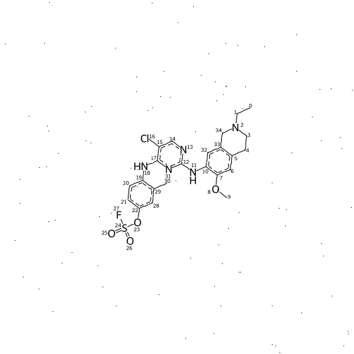 CCN1CCc2cc(OC)c(Nc3ncc(Cl)c(Nc4ccc(OS(=O)(=O)F)cc4C)n3)cc2C1